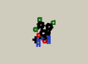 CC(C)(C)NC(=O)N[C@@]12CC[C@@H](c3ccc(Cl)cc3Cl)[C@H](c3ccc(Cl)cc3)[C@@H]1CNC2=O